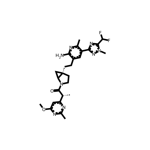 COc1cc([C@@H](C)C(=O)N2CC[C@]3(CCc4cc(-c5nc(C(F)F)n(C)n5)c(C)nc4N)CC23)nc(C)n1